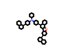 c1ccc(N(c2ccc(-c3cccc4ccccc34)cc2)c2ccc(-c3cc4c5cc(-c6cccc7ccccc67)ccc5oc4c4ccccc34)cc2)cc1